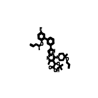 C=CCOC1(C)CCN(c2c(C(OC(C)(C)C)C(=O)O)c(C)nc3cc(-c4cccc(-c5cc(F)ccc5O[C@@H](C)CC=C)c4)nn23)CC1